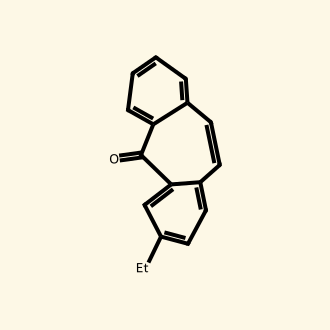 CCc1ccc2ccc3ccccc3c(=O)c2c1